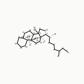 CC(CI)CCC[C@@H](C)[C@H]1CC[C@H]2[C@@H]3CCC4CCCC[C@]4(C)[C@H]3CC[C@]12C